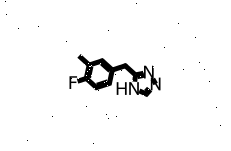 Cc1cc(Cc2nnc[nH]2)ccc1F